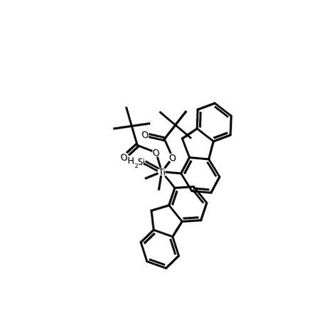 CC(C)(C)C(=O)[O][Ti]([CH3])([CH3])(=[SiH2])([O]C(=O)C(C)(C)C)([c]1cccc2c1Cc1ccccc1-2)[c]1cccc2c1Cc1ccccc1-2